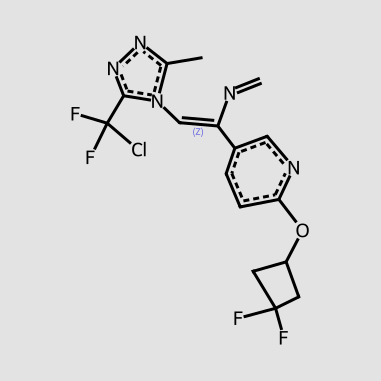 C=N/C(=C\n1c(C)nnc1C(F)(F)Cl)c1ccc(OC2CC(F)(F)C2)nc1